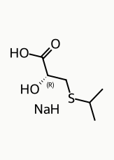 CC(C)SC[C@H](O)C(=O)O.[NaH]